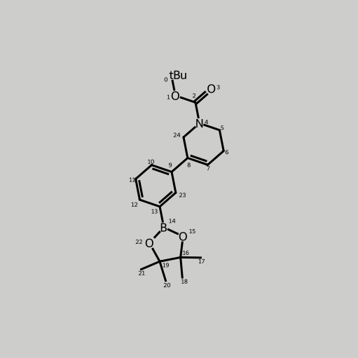 CC(C)(C)OC(=O)N1CCC=C(c2cccc(B3OC(C)(C)C(C)(C)O3)c2)C1